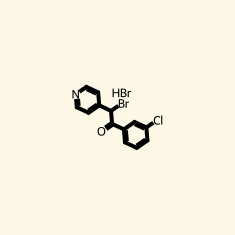 Br.O=C(c1cccc(Cl)c1)C(Br)c1ccncc1